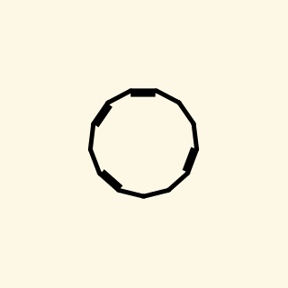 C1=CCC=CCCC=CCCC=C1